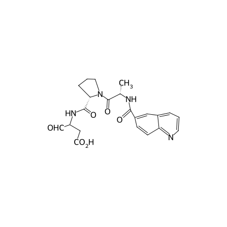 C[C@H](NC(=O)c1ccc2ncccc2c1)C(=O)N1CCC[C@H]1C(=O)NC(C=O)CC(=O)O